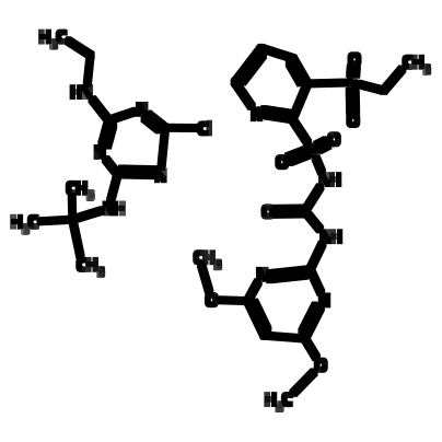 CCNc1nc(Cl)nc(NC(C)(C)C)n1.CCS(=O)(=O)c1cccnc1S(=O)(=O)NC(=O)Nc1nc(OC)cc(OC)n1